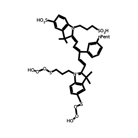 CCCCCc1cccc(C(=C\C=C2\N(CCCS(=O)(=O)O)c3ccc(S(=O)(=O)O)cc3C2(C)C)/C=C/C2=[N+](CCCSOOO)c3ccc(SOOO)cc3C2(C)C)c1